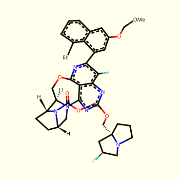 CCc1cccc2cc(OCOC)cc(-c3nc4c5c(nc(OC[C@]67CCCN6C[C@@H](F)C7)nc5c3F)N3C[C@@H]5CC[C@H]([C@H]3CO4)N5C(=O)OC(C)(C)C)c12